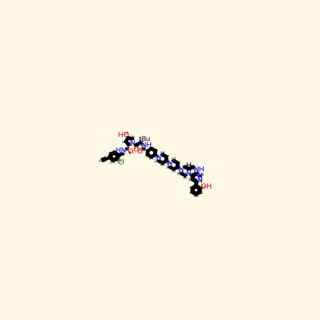 C#Cc1ccc(CNC(=O)[C@@H]2C[C@@H](O)CN2C(=O)[C@@H](NC(=O)[C@H]2CC[C@@H](N3CCC(N4CCC(N5CCN6c7cc(-c8ccccc8O)nnc7NC[C@H]6C5)CC4)CC3)CC2)C(C)(C)C)c(Cl)c1